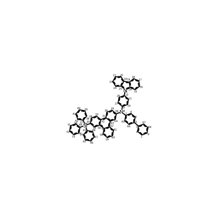 c1ccc(-c2ccc(N(c3ccc(-n4c5ccccc5c5ccccc54)cc3)c3ccc4c5ccc([Si](c6ccccc6)(c6ccccc6)c6ccccc6)cc5c5ccccc5c4c3)cc2)cc1